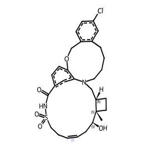 C[C@]12CC[C@H]1CN1CCCCc3cc(Cl)ccc3COc3ccc(cc31)C(=O)NS(=O)(=O)CC/C=C\C[C@@H]2O